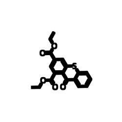 CCOC(=O)c1cc(C(=O)OCC)c2c(=O)c3ccccc3sc2c1